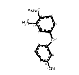 CC(=O)Nc1ccc(Oc2cccc(C#N)c2)cc1N